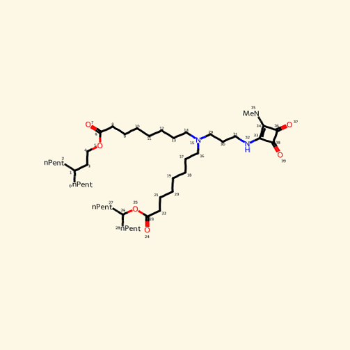 CCCCCC(CCCCC)CCOC(=O)CCCCCCCN(CCCCCCCC(=O)OC(CCCCC)CCCCC)CCCNc1c(NC)c(=O)c1=O